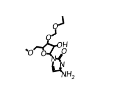 CCOCOC1C(COC)OC(n2ccc(N)nc2=O)C1O